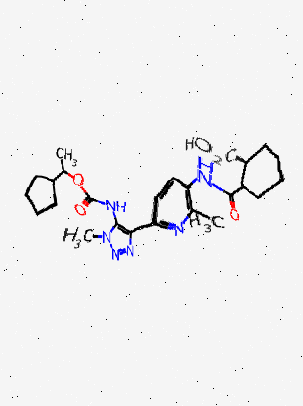 Cc1nc(-c2nnn(C)c2NC(=O)O[C@H](C)C2CCCC2)ccc1NC(=O)C1CCCC[C@@H]1C(=O)O